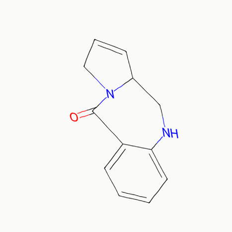 O=C1c2ccccc2NCC2C=CCN12